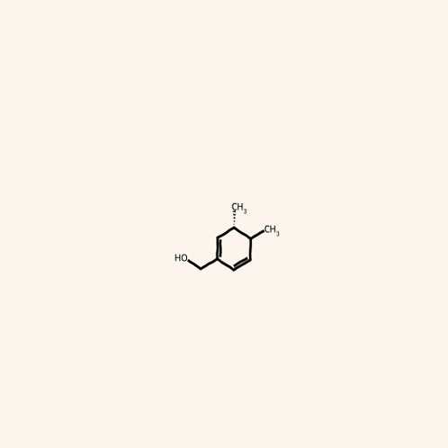 CC1C=CC(CO)=C[C@@H]1C